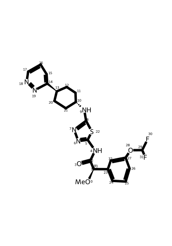 CO[C@@H](C(=O)Nc1nnc(N[C@H]2CC[C@H](c3cccnn3)CC2)s1)c1cccc(OC(F)F)c1